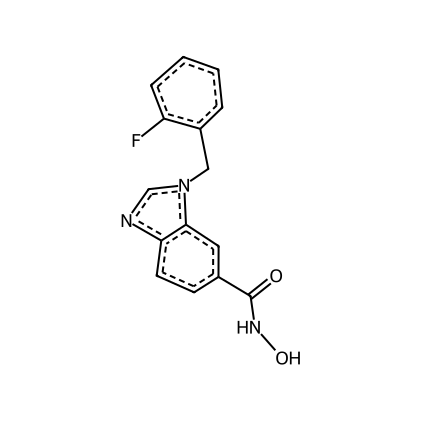 O=C(NO)c1ccc2ncn(Cc3ccccc3F)c2c1